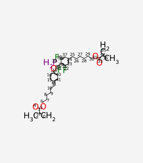 C=C(C)C(=O)OCCCCCCc1ccc(OC(F)(P)c2c(F)cc(CCCCCCOC(=O)C(=C)C)cc2F)cc1